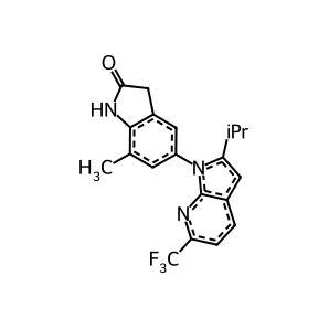 Cc1cc(-n2c(C(C)C)cc3ccc(C(F)(F)F)nc32)cc2c1NC(=O)C2